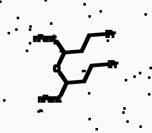 CCCCCC(CCC(C)C)OC(CCCCC)CCC(C)C